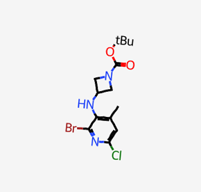 Cc1cc(Cl)nc(Br)c1NC1CN(C(=O)OC(C)(C)C)C1